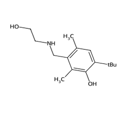 Cc1cc(C(C)(C)C)c(O)c(C)c1CNCCO